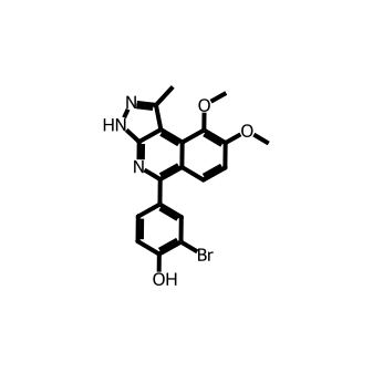 COc1ccc2c(-c3ccc(O)c(Br)c3)nc3[nH]nc(C)c3c2c1OC